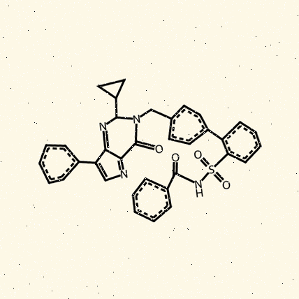 O=C(NS(=O)(=O)c1ccccc1-c1ccc(CN2C(=O)C3=NC=C(c4ccccc4)C3=NC2C2CC2)cc1)c1ccccc1